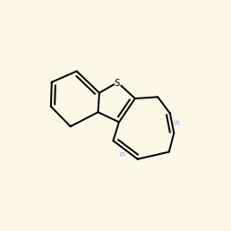 C1=CCC2C(=C1)SC1=C2/C=C\C/C=C\C1